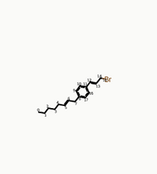 CCCCCC=CCc1ccc(C=CCBr)cc1